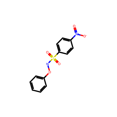 O=[N+]([O-])c1ccc(S(=O)(=O)[N]Oc2ccccc2)cc1